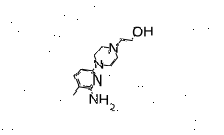 Cc1ccc(N2CCN(CCO)CC2)nc1N